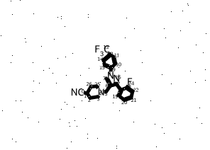 N#CC1CCN(Cc2cn(-c3ccc(C(F)(F)F)cc3)nc2-c2ccccc2F)CC1